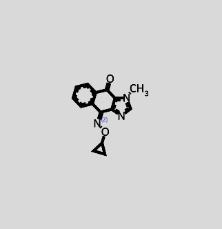 Cn1cnc2c1C(=O)c1ccccc1/C2=N/OC1CC1